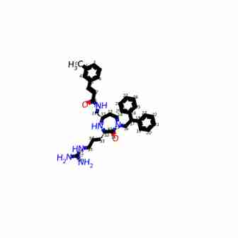 Cc1cccc(/C=C/C(=O)NC[C@@H]2CCN(CC(c3ccccc3)c3ccccc3)C(=O)[C@H](CCCNC(N)N)N2)c1